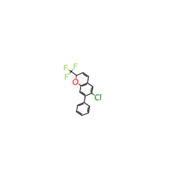 FC(F)(F)C1C=Cc2cc(Cl)c(-c3ccccc3)cc2O1